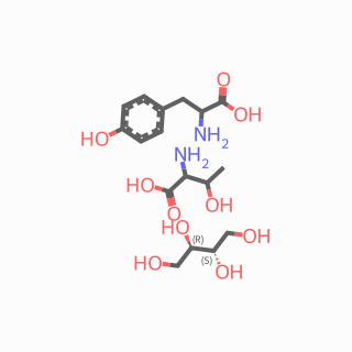 CC(O)C(N)C(=O)O.NC(Cc1ccc(O)cc1)C(=O)O.OC[C@@H](O)[C@@H](O)CO